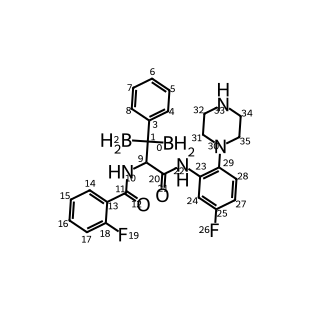 BC(B)(c1ccccc1)C(NC(=O)c1ccccc1F)C(=O)Nc1cc(F)ccc1N1CCNCC1